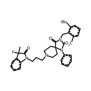 CC(C)(C)c1cccc(C(=O)O)c1CN1CN(c2ccccc2)C2(CCN(CCCN3C(=O)C(C)(F)c4ccccc43)CC2)C1=O